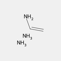 C=CN.N.N